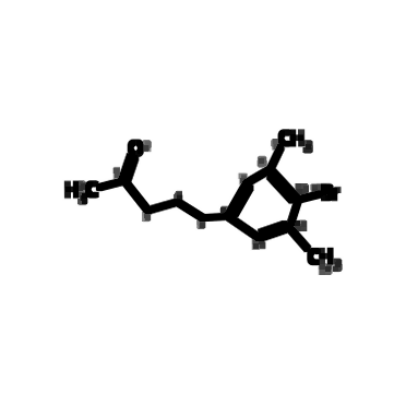 CC(=O)CCCc1cc(C)c(Br)c(C)c1